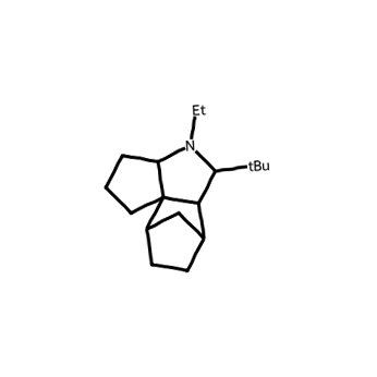 CCN1C(C(C)(C)C)C2C3CCC(C3)C23CCCC13